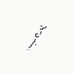 Cc1nc(CC(C)(C)C)c2nc(Cn3cccc(NC(=O)C(CC/C=C/C(=O)N(C)C)NC(=O)O)c3=O)[nH]c2n1